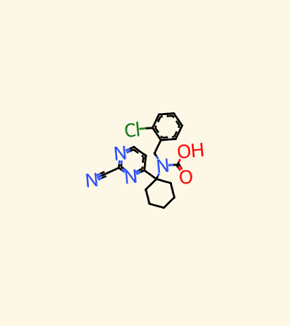 N#Cc1nccc(C2(N(Cc3ccccc3Cl)C(=O)O)CCCCC2)n1